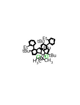 CCc1ccccc1-c1c(C(C)(C)C)ccc2c1C=C(C(C)(C)C)[CH]2[Zr]([Cl])([Cl])([CH]1C(C(C)(C)C)=Cc2c1ccc(C(C)(C)C)c2-c1ccccc1CC)[SiH](C)C